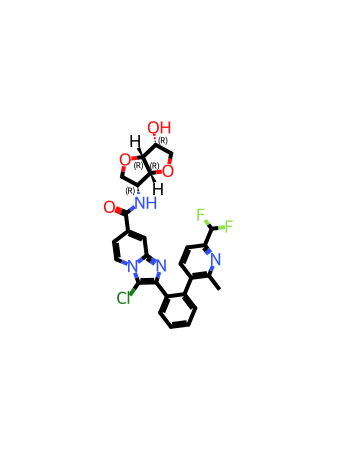 Cc1nc(C(F)F)ccc1-c1ccccc1-c1nc2cc(C(=O)N[C@@H]3CO[C@H]4[C@@H]3OC[C@H]4O)ccn2c1Cl